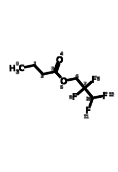 CCCC(=O)OCC(F)(F)C(F)F